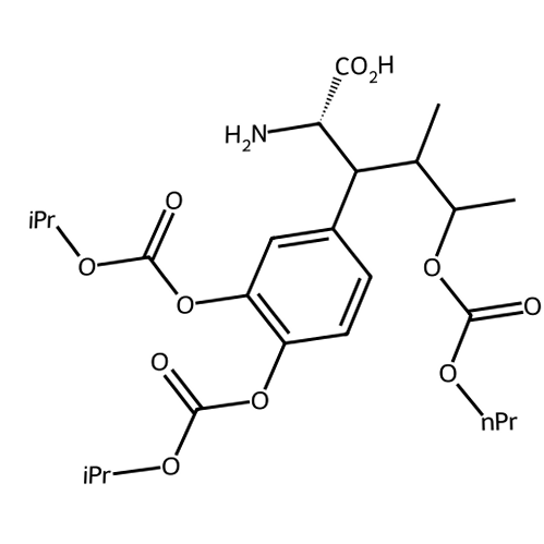 CCCOC(=O)OC(C)C(C)C(c1ccc(OC(=O)OC(C)C)c(OC(=O)OC(C)C)c1)[C@H](N)C(=O)O